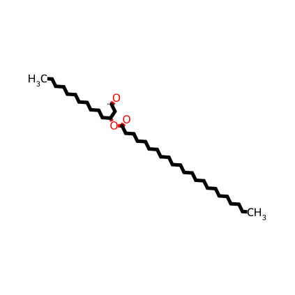 CCCCCCCCCCCCCCCCCCCCCCC(=O)OC(C[C]=O)CCCCCCCCCCC